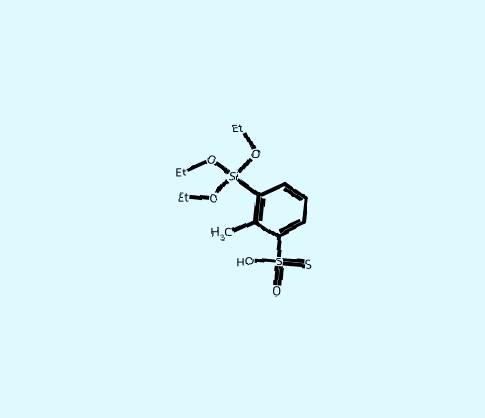 CCO[Si](OCC)(OCC)c1cccc(S(=O)(O)=S)c1C